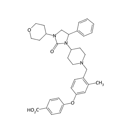 Cc1cc(Oc2ccc(C(=O)O)cc2)ccc1CN1CCC(N2C(=O)N(C3CCOCC3)CC2c2ccccc2)CC1